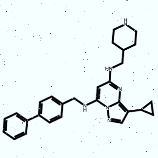 c1ccc(-c2ccc(CNc3cc(NCC4CCNCC4)nc4c(C5CC5)cnn34)cc2)cc1